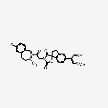 CN/C=C(\C=N)c1ccc2c(c1)CCC21OC(=O)N(CC(=O)N2Cc3ccc(F)cc3CC[C@H]2C(F)(F)F)C1=O